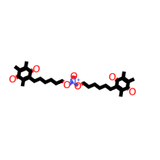 CC1=C(C)C(=O)C(CCCCCCO[N+](=O)OCCCCCCC2=C(C)C(=O)C(C)=C(C)C2=O)=C(C)C1=O